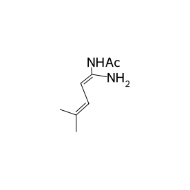 CC(=O)N/C(N)=C/C=C(C)C